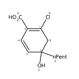 CCCCCC1(O)C=CC(C(=O)O)=C(Cl)C1